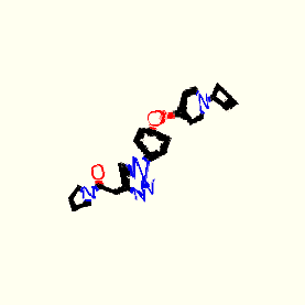 O=C(Cc1cn(-c2ccc(OC3CCN(C4CCC4)CC3)cc2)nn1)N1CCCC1